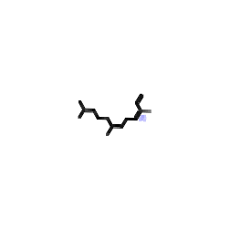 C=C/C(C)=C\CC=C(C)CCC=C(C)C